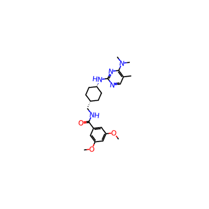 COc1cc(OC)cc(C(=O)NC[C@H]2CC[C@@H](Nc3ncc(C)c(N(C)C)n3)CC2)c1